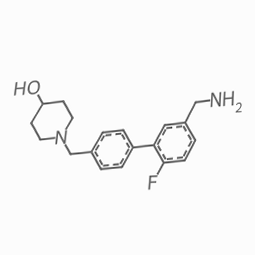 NCc1ccc(F)c(-c2ccc(CN3CCC(O)CC3)cc2)c1